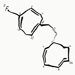 Fc1ccc(C[C@H]2C=CC=CC2)cc1